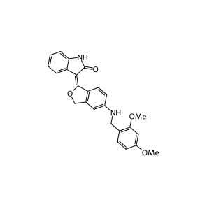 COc1ccc(CNc2ccc3c(c2)COC3=C2C(=O)Nc3ccccc32)c(OC)c1